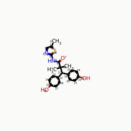 Cc1cnc(NC(=O)C(C)(C)C(c2ccc(O)cc2)c2ccc(O)cc2)s1